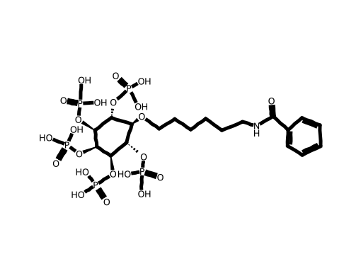 O=C(NCCCCCCO[C@@H]1[C@@H](OP(=O)(O)O)[C@H](OP(=O)(O)O)[C@H](OP(=O)(O)O)[C@H](OP(=O)(O)O)[C@H]1OP(=O)(O)O)c1ccccc1